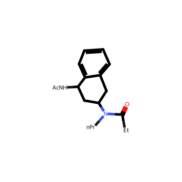 CCCN(C(=O)CC)C1Cc2ccccc2C(NC(C)=O)C1